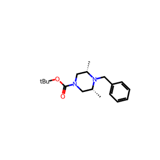 C[C@@H]1CN(C(=O)OC(C)(C)C)C[C@H](C)N1Cc1ccccc1